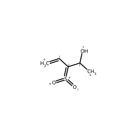 C=CC(C(C)O)=S(=O)=O